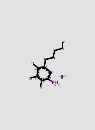 CCCCCc1cc(P)c(C)c(C)c1C.I